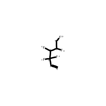 C=CC(F)(F)C(F)C(F)CF